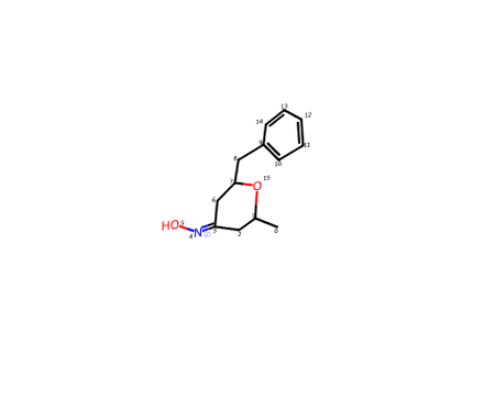 CC1C/C(=N/O)CC(Cc2ccccc2)O1